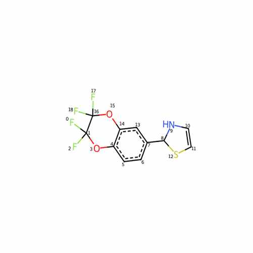 FC1(F)Oc2ccc(C3NC=CS3)cc2OC1(F)F